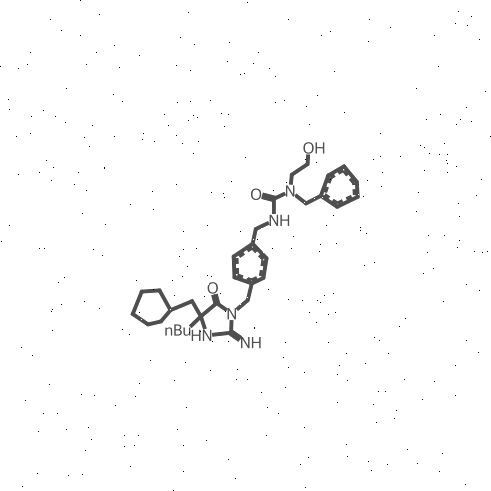 CCCCC1(CC2CCCCC2)NC(=N)N(Cc2ccc(CNC(=O)N(CCO)Cc3ccccc3)cc2)C1=O